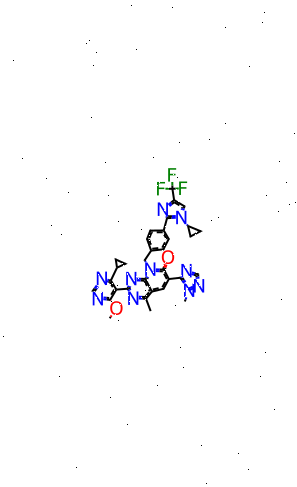 COc1ncnc(C2CC2)c1-c1nc(C)c2cc(-c3ncnn3C)c(=O)n(Cc3ccc(-c4nc(C(F)(F)F)cn4C4CC4)cc3)c2n1